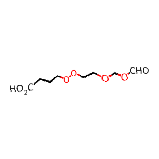 O=COCOCCOOCCCC(=O)O